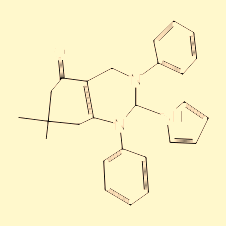 CC1(C)CC(=O)C2=C(C1)N(c1ccccc1)C([SH]1C=CC=C1)N(c1ccccc1)C2